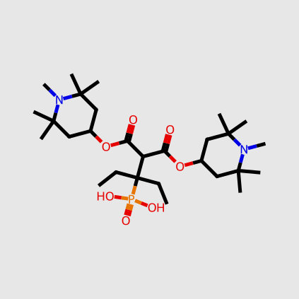 CCC(CC)(C(C(=O)OC1CC(C)(C)N(C)C(C)(C)C1)C(=O)OC1CC(C)(C)N(C)C(C)(C)C1)P(=O)(O)O